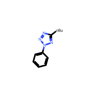 CCCCc1nnn(-c2ccccc2)n1